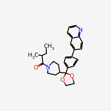 CCC(C)C(=O)N1CCC(C2(c3ccc(-c4ccc5ncccc5c4)cc3)OCCO2)CC1